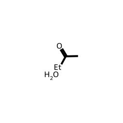 CCC(C)=O.O